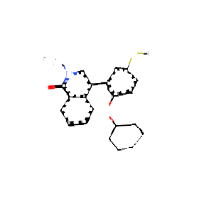 CCSc1ccc(OC2CCCCC2)c(-c2cn(C)c(=O)c3ccccc23)c1